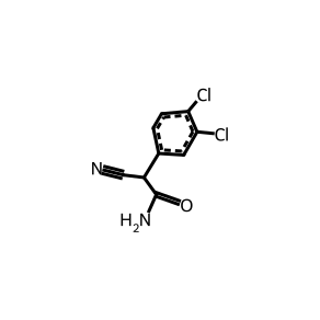 N#CC(C(N)=O)c1ccc(Cl)c(Cl)c1